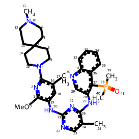 COc1nc(N2CCC3(CCN(C)CC3)CC2)c(C)cc1Nc1ncc(C)c(Nc2cnc3ccccc3c2P(C)(C)=O)n1